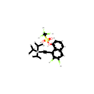 CC(C)[Si](C#Cc1c(F)c(F)cc2cccc(OS(=O)(=O)C(F)(F)F)c12)(C(C)C)C(C)C